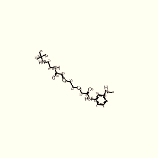 CNc1cccc(NC(=O)COCCOCC(=O)NCCNC(C)(C)C)c1